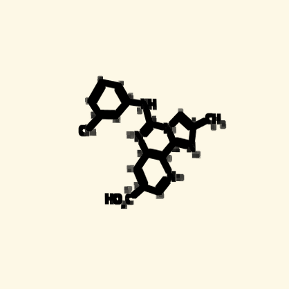 Cc1cn2c(Nc3cccc(Cl)c3)nc3cc(C(=O)O)cnc3c2n1